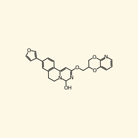 OC1N=C(OCC2COc3ncccc3O2)C=C2c3ccc(-c4ccoc4)cc3CCN21